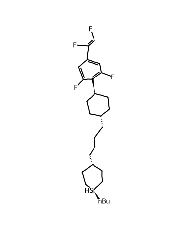 CCCC[Si@H]1CC[C@H](CCCC[C@H]2CC[C@H](c3c(F)cc(C(F)=CF)cc3F)CC2)CC1